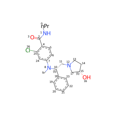 CCCNC(=O)c1ccc(N(C)[C@H](CN2CC[C@H](O)C2)c2ccccc2)cc1Cl